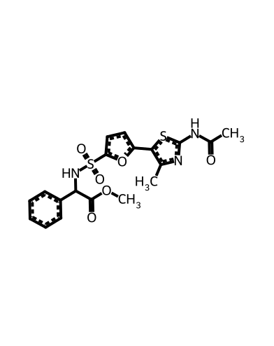 COC(=O)C(NS(=O)(=O)c1ccc(-c2sc(NC(C)=O)nc2C)o1)c1ccccc1